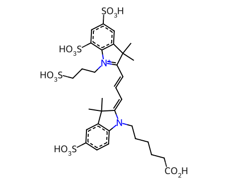 CC1(C)C(/C=C/C=C2/N(CCCCCC(=O)O)c3ccc(S(=O)(=O)O)cc3C2(C)C)=[N+](CCCS(=O)(=O)O)c2c1cc(S(=O)(=O)O)cc2S(=O)(=O)O